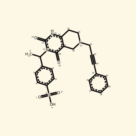 CC(c1ccc(S(=O)(=O)O)cc1)n1c(=O)[nH]c2c(c1=O)CN(CC#Cc1ccccc1)CC2